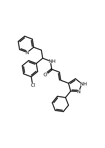 O=C(C=Cc1c[nH]nc1C1C=CC=CC1)NC(Cc1ccccn1)c1cccc(Cl)c1